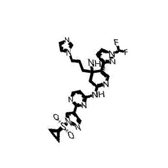 NC1(CCCn2ccnc2)CC(Nc2ccnc(-c3cnn(S(=O)(=O)C4CC4)c3)n2)=NC=C1c1ccn(C(F)F)n1